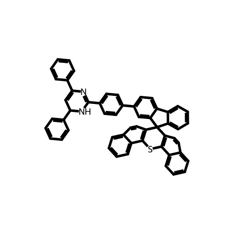 C1=C(c2ccccc2)N=C(c2ccc(-c3ccc4c(c3)C3(c5ccccc5-4)c4ccc5ccccc5c4Sc4c3ccc3ccccc43)cc2)NC1c1ccccc1